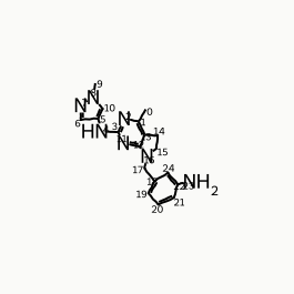 Cc1nc(Nc2cnn(C)c2)nc2c1CCN2Cc1cccc(N)c1